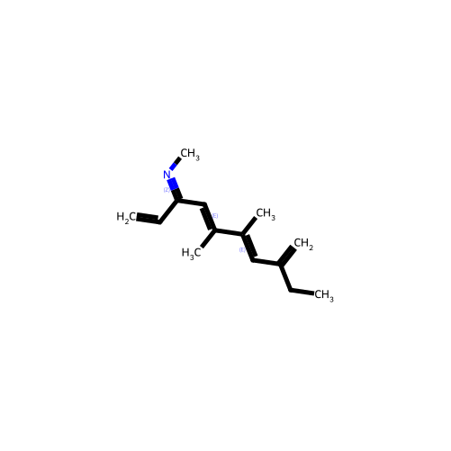 C=CC(/C=C(C)/C(C)=C/C(=C)CC)=N/C